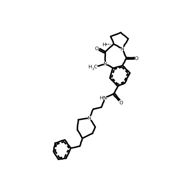 CN1C(=O)[C@H]2CCCN2C(=O)c2ccc(C(=O)NCCN3CCC(Cc4ccccc4)CC3)cc21